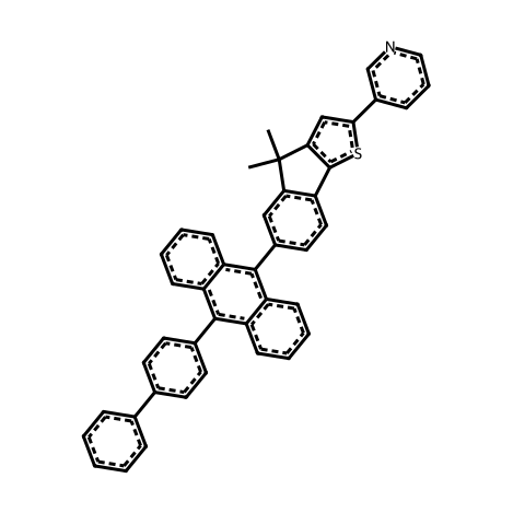 CC1(C)c2cc(-c3c4ccccc4c(-c4ccc(-c5ccccc5)cc4)c4ccccc34)ccc2-c2sc(-c3cccnc3)cc21